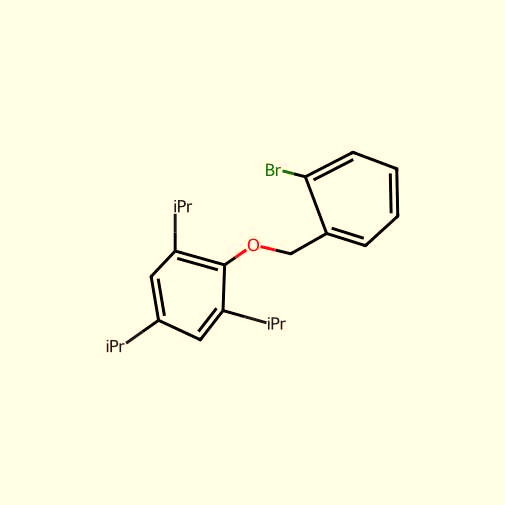 CC(C)c1cc(C(C)C)c(OCc2ccccc2Br)c(C(C)C)c1